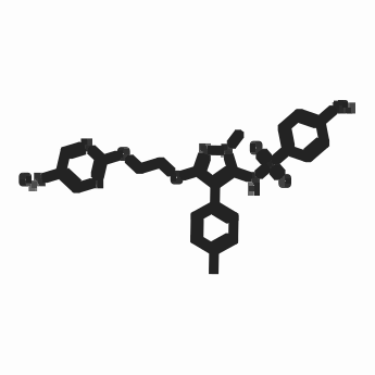 Cc1ccc(-c2c(OCCOc3ncc([N+](=O)[O-])cn3)nn(C)c2NS(=O)(=O)c2ccc(C(C)(C)C)cc2)cc1